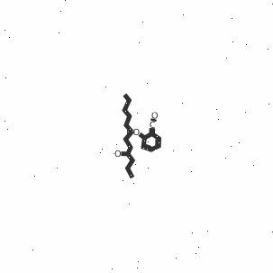 CCCCCCCCC([O])CCC.O=C=C1C=CC=CC1O